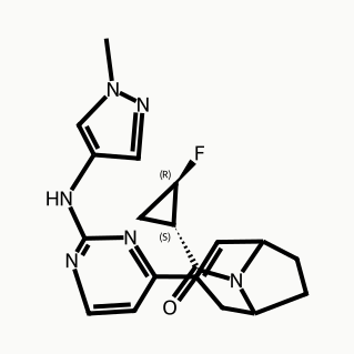 Cn1cc(Nc2nccc(C3=CC4CCC(C3)N4C(=O)[C@@H]3C[C@H]3F)n2)cn1